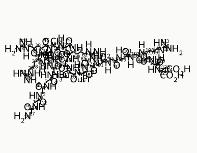 CC[C@H](C)[C@H](NC(=O)CNC(=O)CNC(=O)CNC(=O)CN)C(=O)N[C@H](C(=O)N[C@@H](CCCNC(=N)N)C(=O)N[C@@H](CCCNC(=N)N)C(=O)N[C@@H](C)C(=O)N[C@@H](CC(=O)O)C(=O)N[C@@H](CCCNC(=N)N)C(=O)N[C@@H](C)C(=O)N[C@@H](C)C(=O)N[C@H](C(=O)N1CCC[C@H]1C(=O)NCC(=O)NCC(=O)NCC(=O)NCC(=O)N[C@@H](CCCNC(=N)N)C(=O)NCC(=O)N[C@@H](CC(=O)O)C(=O)O)C(C)C)C(C)C